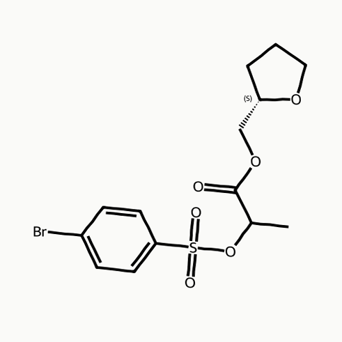 CC(OS(=O)(=O)c1ccc(Br)cc1)C(=O)OC[C@@H]1CCCO1